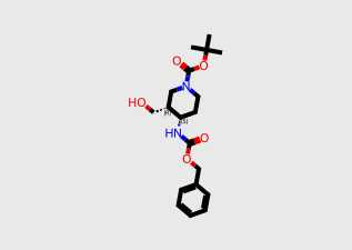 CC(C)(C)OC(=O)N1CC[C@H](NC(=O)OCc2ccccc2)[C@H](CO)C1